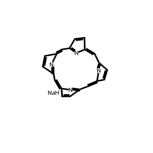 C1=CC2=NC1=CC1=NC(=CC3=NC(=CC4=NC(=C2)C=C4)C=C3)C=C1.[NaH]